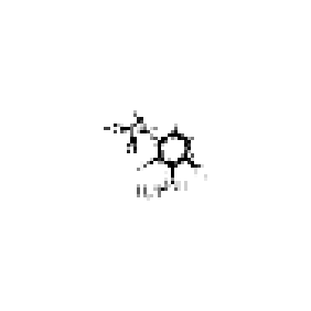 NNc1c(F)cccc1F.O=P(O)(O)O